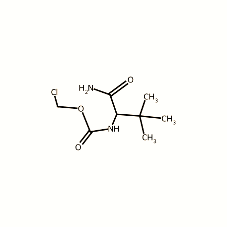 CC(C)(C)C(NC(=O)OCCl)C(N)=O